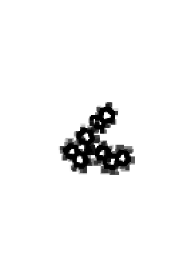 c1cc(-c2cc3ccccc3o2)cc(N(c2ccc3c(ccc4ccccc43)c2)c2cccc3ccccc23)c1